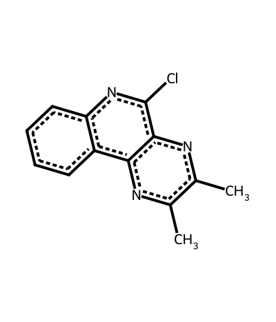 Cc1nc2c(Cl)nc3ccccc3c2nc1C